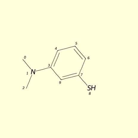 CN(C)c1cccc(S)c1